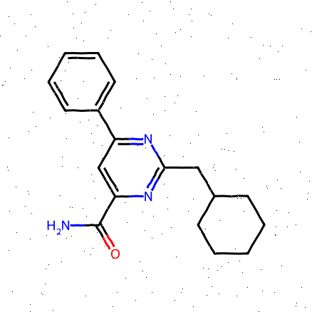 NC(=O)c1cc(-c2ccccc2)nc(CC2CCCCC2)n1